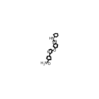 NC(=O)c1ccc(-c2cc(Oc3ccc4nc(NC5CCCCC5)sc4c3)ccn2)cc1